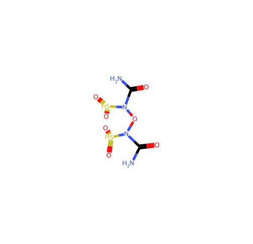 NC(=O)N(ON(C(N)=O)[SH](=O)=O)[SH](=O)=O